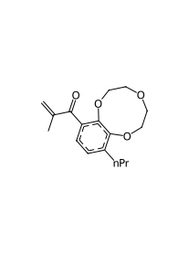 C=C(C)C(=O)c1ccc(CCC)c2c1OCCOCCO2